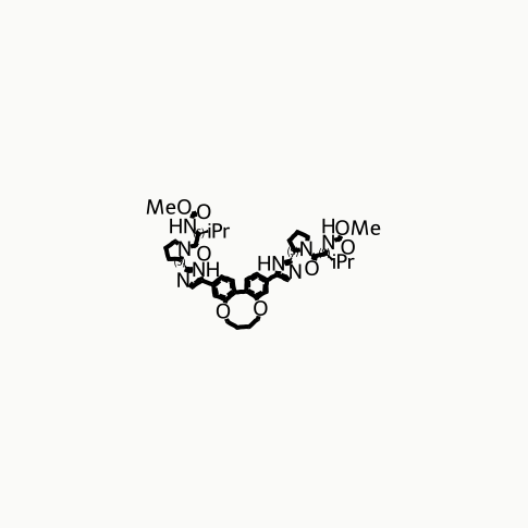 COC(=O)N[C@H](C(=O)N1CCC[C@H]1c1ncc(-c2ccc3c(c2)OCCCCOc2cc(-c4cnc([C@@H]5CCCN5C(=O)[C@@H](NC(=O)OC)C(C)C)[nH]4)ccc2-3)[nH]1)C(C)C